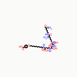 N[C@H]([C]=O)CCCCNC(=O)[C@@H](N)CCCCNC(=O)[C@H](CO)NC(=O)[C@H](CO)NC(=O)CC[C@H](NC(=O)CCCCCCCCCCOc1ccc(C(=O)O)cc1)C(=O)O